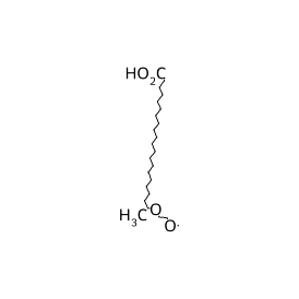 CC(CCCCCCCCCCCCCCCCCCC(=O)O)OCC[O]